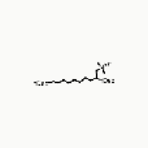 CCCCCCCCCCCCCCCCCCC(CCCCCCCCCC)C[N+](C)(C)[O-]